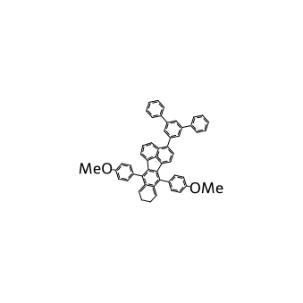 COc1ccc(-c2c3c(c(-c4ccc(OC)cc4)c4c2=CCCC=4)-c2ccc(-c4cc(-c5ccccc5)cc(-c5ccccc5)c4)c4cccc-3c24)cc1